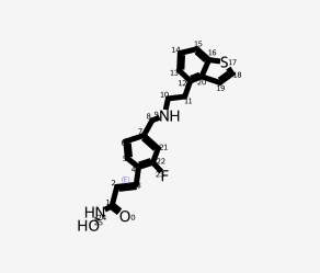 O=C(/C=C/c1ccc(CNCCc2cccc3sccc23)cc1F)NO